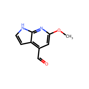 COc1cc(C=O)c2cc[nH]c2n1